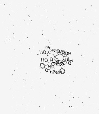 CC(C)[C@H](N)C(=O)O.CCCCCC(=O)N[C@@H](c1ccccc1)[C@@H](O)C(=O)O[C@H]1C[C@@]2(O)[C@@H](OC(=O)c3ccccc3)[C@@H]3[C@]4(OC(C)=O)CO[C@@H]4C[C@H](O)[C@@]3(C)C(=O)[C@H](OC(C)=O)C(=C1C)C2(C)C